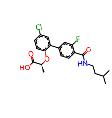 CC(C)CCNC(=O)c1ccc(-c2cc(Cl)ccc2O[C@@H](C)C(=O)O)cc1F